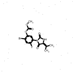 COC(=O)Oc1cc(N2C(=O)NC(=C(C)C)C2=O)c(F)cc1Br